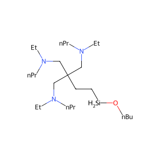 CCCCO[SiH2]CCC(CN(CC)CCC)(CN(CC)CCC)CN(CC)CCC